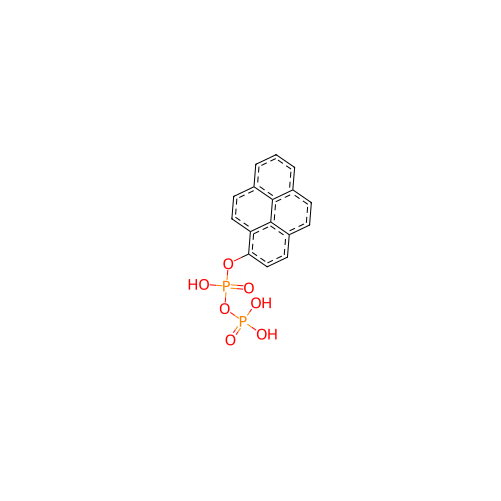 O=P(O)(O)OP(=O)(O)Oc1ccc2ccc3cccc4ccc1c2c34